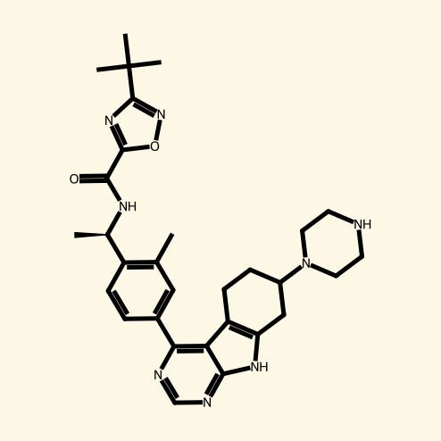 Cc1cc(-c2ncnc3[nH]c4c(c23)CCC(N2CCNCC2)C4)ccc1[C@@H](C)NC(=O)c1nc(C(C)(C)C)no1